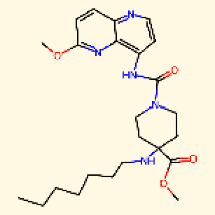 CCCCCCCNC1(C(=O)OC)CCN(C(=O)Nc2ccnc3ccc(OC)nc23)CC1